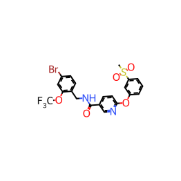 CS(=O)(=O)c1cccc(Oc2ccc(C(=O)NCc3ccc(Br)cc3OC(F)(F)F)cn2)c1